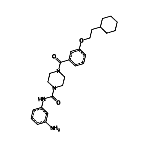 Nc1cccc(NC(=O)N2CCN(C(=O)c3cccc(OCCC4CCCCC4)c3)CC2)c1